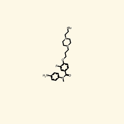 CN(C(=O)c1ccc(OCCCN2CCN(CCC(C)(C)C)CC2)c(F)c1)c1ccc(N)cc1